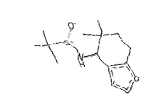 CC1(C)CCc2occc2C1N[S@@+]([O-])C(C)(C)C